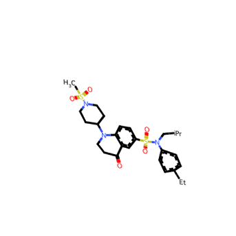 CCc1ccc(N(CC(C)C)S(=O)(=O)c2ccc3c(c2)C(=O)CCN3C2CCN(S(C)(=O)=O)CC2)cc1